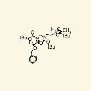 CC(C)(C)OC(=O)[C@@H](CCCO[Si](C)(C)C(C)(C)C)C[C@H](NC(=O)OCc1ccccc1)C(=O)OC(C)(C)C